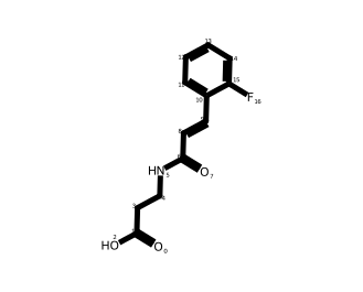 O=C(O)CCNC(=O)/C=C/c1ccccc1F